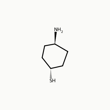 N[C@H]1CC[C@H](S)CC1